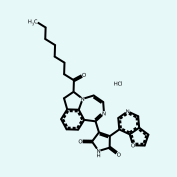 CCCCCCCC(=O)C1Cc2cccc3c2N1C=CN=C3C1=C(c2cncc3ccoc23)C(=O)NC1=O.Cl